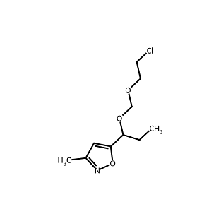 CCC(OCOCCCl)c1cc(C)no1